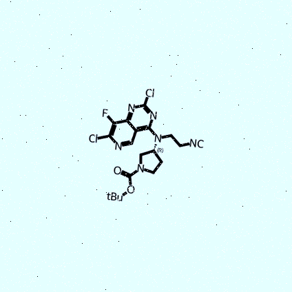 [C-]#[N+]CCN(c1nc(Cl)nc2c(F)c(Cl)ncc12)[C@@H]1CCN(C(=O)OC(C)(C)C)C1